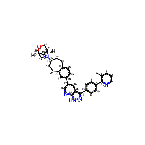 Cc1cccnc1-c1ccc(-c2n[nH]c3ncc(-c4ccc5c(c4)CC[C@@H](N4C[C@@H]6C[C@H]4CO6)CC5)cc23)cc1